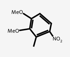 COc1ccc([N+](=O)[O-])c(C)c1OC